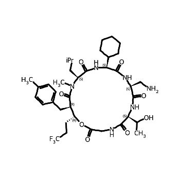 Cc1ccc(C[C@H]2C(=O)N(C)[C@@H](CC(C)C)C(=O)N[C@@H](C3CCCCC3)C(=O)N[C@@H](CN)C(=O)N[C@@H](C(C)O)C(=O)NCC(=O)O[C@@H]2CCC(F)(F)F)cc1